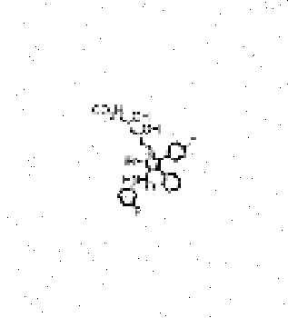 CC(C)c1c(C(=O)Nc2cccc(F)c2)c(-c2ccccc2)c(-c2ccc(F)cc2)n1CC[C@@H](O)C[C@@H](O)CC(=O)O